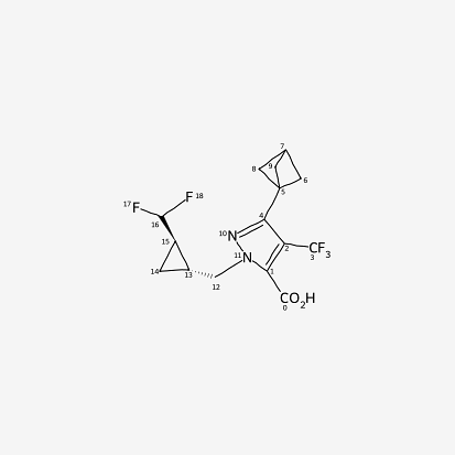 O=C(O)c1c(C(F)(F)F)c(C23CC(C2)C3)nn1C[C@@H]1C[C@H]1C(F)F